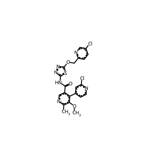 COc1c(C)ncc(C(=O)Nc2nnc(OCc3ccc(Cl)cn3)s2)c1-c1ccnc(Cl)c1